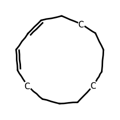 C1=CCCCCCCCCCCC=C1